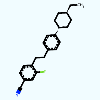 CC[C@H]1CC[C@H](c2ccc(CCc3ccc(C#N)cc3F)cc2)CC1